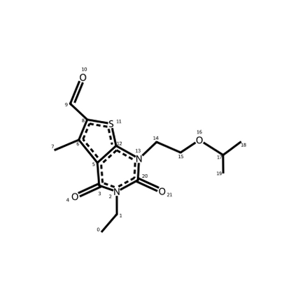 CCn1c(=O)c2c(C)c(C=O)sc2n(CCOC(C)C)c1=O